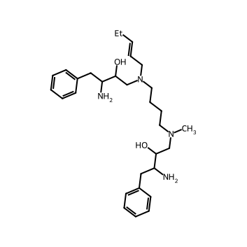 CCC=CCN(CCCCN(C)CC(O)C(N)Cc1ccccc1)CC(O)C(N)Cc1ccccc1